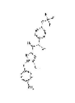 Cc1ccc(Cn2nc(C(=O)C(O)c3ccc(OC(F)(F)F)cc3)cc2C)cc1